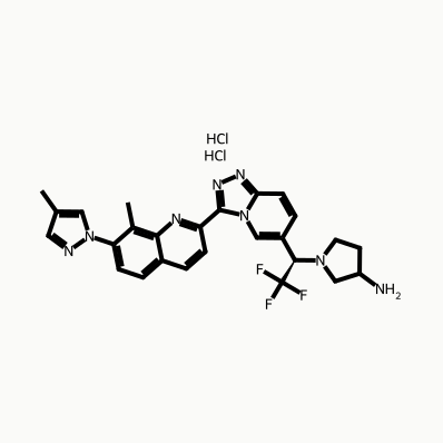 Cc1cnn(-c2ccc3ccc(-c4nnc5ccc([C@@H](N6CCC(N)C6)C(F)(F)F)cn45)nc3c2C)c1.Cl.Cl